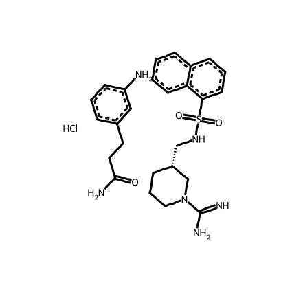 Cl.N=C(N)N1CCC[C@H](CNS(=O)(=O)c2cccc3ccccc23)C1.NC(=O)CCc1cccc(N)c1